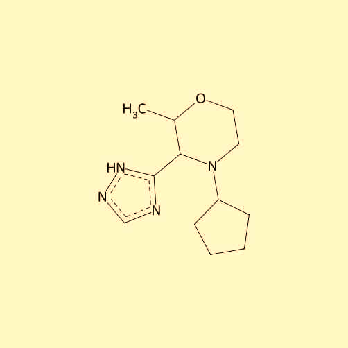 CC1OCCN(C2CCCC2)C1c1ncn[nH]1